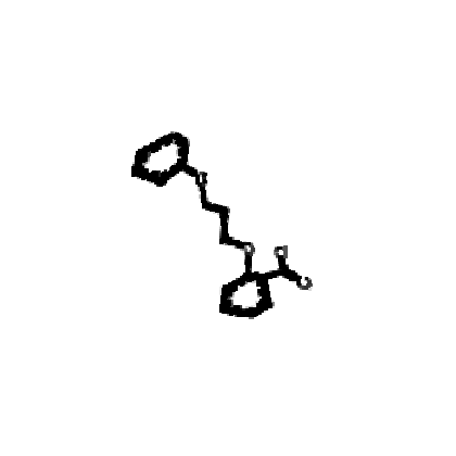 O=C(Cl)c1ccccc1OCCCOc1ccccc1